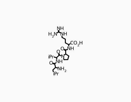 CC(C)CC(N)C(=O)NC(C(=O)N1CCCC1C(=O)NC(CCCNC(=N)N)C(=O)O)C(C)C